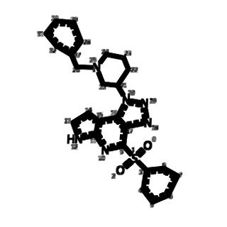 O=S(=O)(c1ccccc1)c1nc2[nH]ccc2c2c1nnn2C1CCCN(Cc2ccccc2)C1